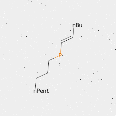 CCCCC=C[P]CCCCCCCC